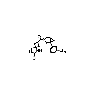 O=C1N[C@]2(CO1)C[C@H](C(=O)N1CC3CC3(c3cccc(C(F)(F)F)c3)C1)C2